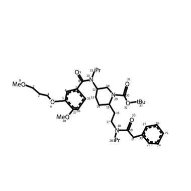 COCCCOc1cc(C(=O)N(C(C)C)C2CCC(CCN(C(=O)Cc3ccccc3)C(C)C)N(C(=O)OC(C)(C)C)C2)ccc1OC